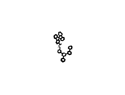 C/C(=N\Cc1cccc(C2=CC(c3ccccc3)=CC(c3cccc(-c4ccccc4)c3)C2)c1)c1ccc2c(c1)C1(C3=C(C=CCC3)c3ccccc31)c1ccccc1-2